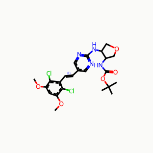 COc1cc(OC)c(Cl)c(/C=C/c2cnc(NC3COCC3NC(=O)OC(C)(C)C)nc2)c1Cl